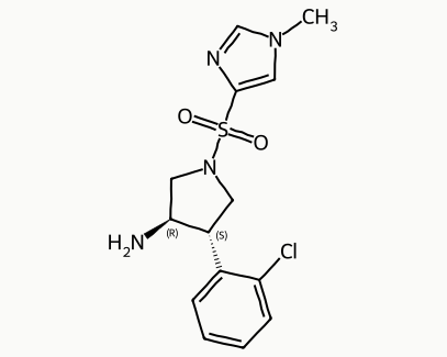 Cn1cnc(S(=O)(=O)N2C[C@H](c3ccccc3Cl)[C@@H](N)C2)c1